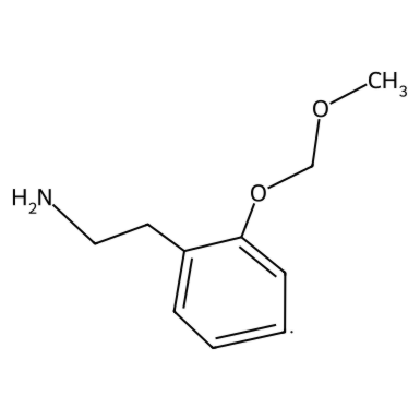 COCOc1c[c]ccc1CCN